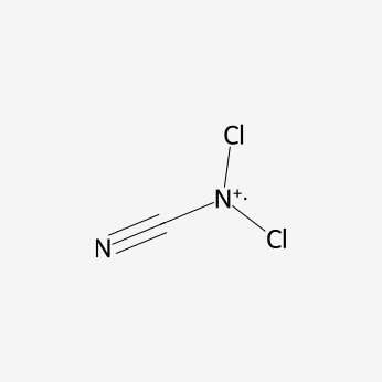 N#C[N+](Cl)Cl